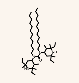 CCCCCCCCCCCCN(C(=O)N(CCCCCCCCCCCC)C1CC(C)(CC)NC(C)(CC)C1C)C1CC(C)(CC)NC(C)(CC)C1C